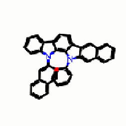 c1ccc(-n2c3cc4ccccc4cc3c3ccc4c5ccccc5n(-c5ccc6ccccc6c5)c4c32)cc1